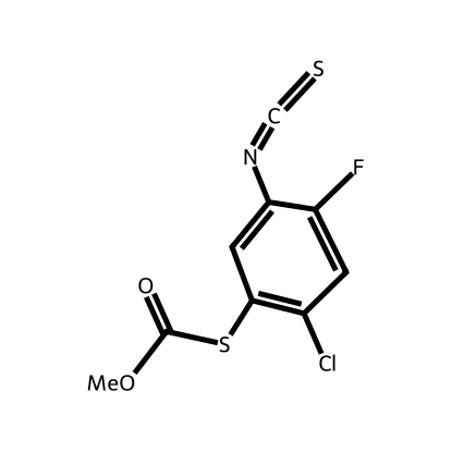 COC(=O)Sc1cc(N=C=S)c(F)cc1Cl